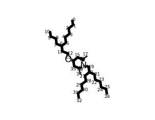 CCCCCCC(CCCC)CCOC1C[C@@H](C)N(CC(CCCCCC)CCCCCC)[C@@H](C)C1